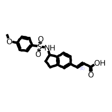 COc1ccc(S(=O)(=O)NC2CCc3cc(/C=C/C(=O)O)ccc32)cc1